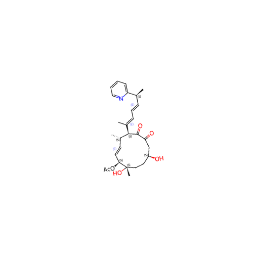 CC(=O)O[C@H]1/C=C/[C@H](C)[C@@H](/C(C)=C/C=C/[C@H](C)c2ccccn2)C(=O)C(=O)C[C@@H](O)CC[C@]1(C)O